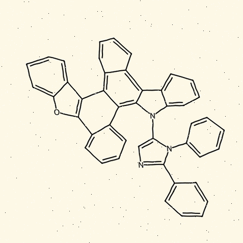 c1ccc(-c2ncc(-n3c4ccccc4c4c5ccccc5c5c6c7ccccc7oc6c6ccccc6c5c43)n2-c2ccccc2)cc1